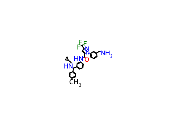 Cc1ccc(C(NCC2CC2)c2cccc(NC(=O)c3cc(C(F)(F)F)nn3-c3cccc(CN)c3)c2)cc1